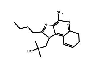 CCSCc1nc2c(N)nc3c(c2n1CC(C)(C)O)C=CCC3